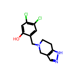 Oc1cc(Cl)c(Cl)cc1CN1CCc2[nH]ncc2C1